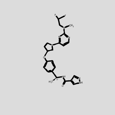 C[C@H](NC(=O)c1cn[nH]c1)c1ccc(OC2CCN(c3ccnc(N(C)CC(F)F)n3)C2)cc1